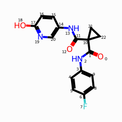 O=C(Nc1ccc(F)cc1)C1(C(=O)Nc2ccc(O)nc2)CC1